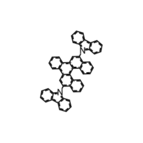 c1ccc2c(c1)c(-n1c3ccccc3c3ccccc31)cc1c3ccccc3c3cc(-n4c5ccccc5c5ccccc54)c4ccccc4c3c21